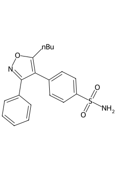 CCCCc1onc(-c2ccccc2)c1-c1ccc(S(N)(=O)=O)cc1